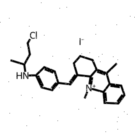 Cc1c2c([n+](C)c3ccccc13)C(=Cc1ccc(NC(C)CCCl)cc1)CCC2.[I-]